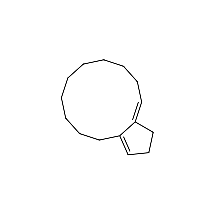 C1=C2CCC=C2CCCCCCCCC1